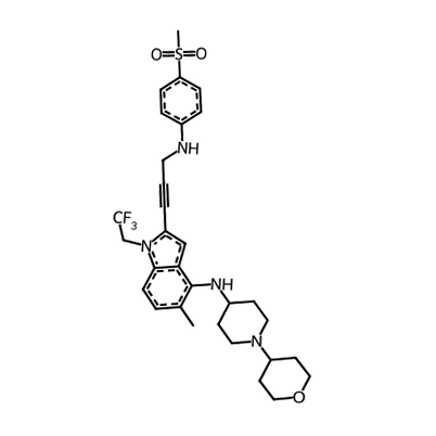 Cc1ccc2c(cc(C#CCNc3ccc(S(C)(=O)=O)cc3)n2CC(F)(F)F)c1NC1CCN(C2CCOCC2)CC1